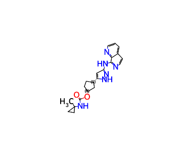 CC1(NC(=O)O[C@@H]2CC[C@H](c3cc(Nc4nccc5cccnc45)n[nH]3)C2)CC1